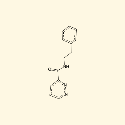 O=C(NCCc1ccccc1)c1cccnn1